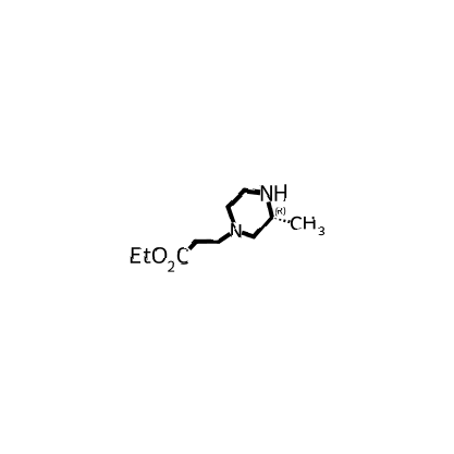 CCOC(=O)CCN1CCN[C@H](C)C1